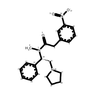 CN(C(=O)Cc1cccc([N+](=O)[O-])c1)[C@H](CN1CCCC1)c1ccccc1